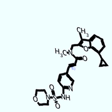 Cc1c(CN(C)C(=O)/C=C/c2ccc(NS(=O)(=O)N3CCOCC3)nc2)oc2c(C3CC3)cccc12